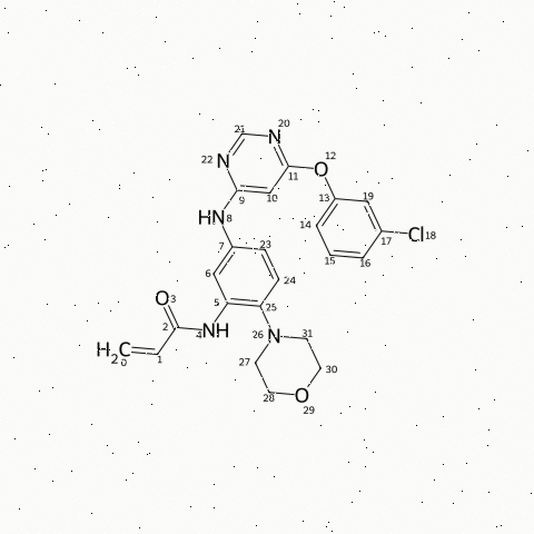 C=CC(=O)Nc1cc(Nc2cc(Oc3cccc(Cl)c3)ncn2)ccc1N1CCOCC1